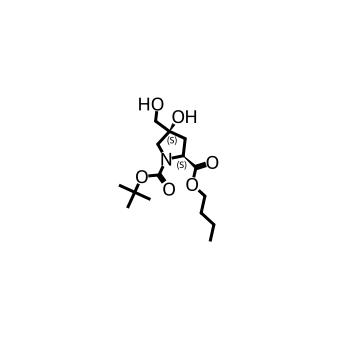 CCCCOC(=O)[C@@H]1C[C@@](O)(CO)CN1C(=O)OC(C)(C)C